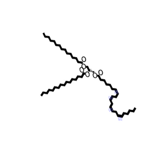 CCCCC/C=C\C/C=C\C/C=C\C/C=C\CCCCCC(=O)OC[C@@H](COC(=O)CCCCCCCCCCCCCC)OC(=O)CCCCCCCCCCCCCCC